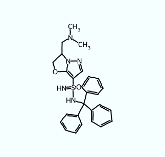 CN(C)CC1COc2c(S(=N)(=O)NC(c3ccccc3)(c3ccccc3)c3ccccc3)cnn21